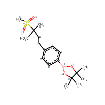 CC1(C)OB(c2ccc(CCC(C)(C(=O)O)S(C)(=O)=O)cc2)OC1(C)C